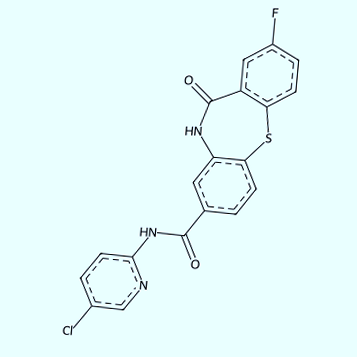 O=C(Nc1ccc(Cl)cn1)c1ccc2c(c1)NC(=O)c1cc(F)ccc1S2